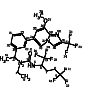 CCN(C(=O)NC(CCC(F)(F)F)C(F)(F)F)C(C)c1cccc(-c2cc(OC)c3nc(C(F)(F)F)cn3c2)c1